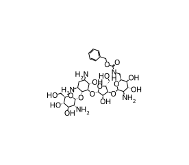 N[C@H]1[C@@H](O[C@H]2[C@@H](O)[C@H](O[C@@H]3[C@@H](O)[C@H](N)C[C@H](N)[C@H]3O[C@H]3O[C@H](CO)[C@@H](O)[C@H](O)[C@H]3N)O[C@@H]2CO)O[C@@H](CNC(=O)OCc2ccccc2)[C@@H](O)[C@@H]1O